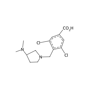 CN(C)C1CCN(Cc2c(Cl)cc(C(=O)O)cc2Cl)C1